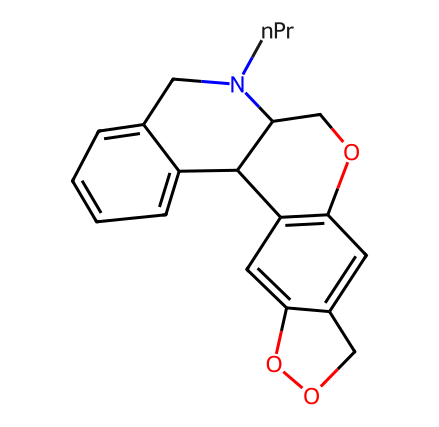 CCCN1Cc2ccccc2C2c3cc4c(cc3OCC21)COO4